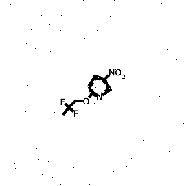 CC(F)(F)COc1ccc([N+](=O)[O-])cn1